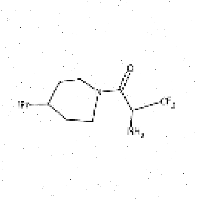 CC(C)C1CCN(C(=O)C(N)C(F)(F)F)CC1